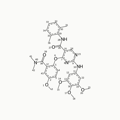 COc1ccc(Oc2nc(Nc3cc(OC)c(OC)c(OC)c3)ncc2C(=O)Nc2c(C)cccc2C)c(C(=O)N(C)C)c1